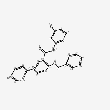 O=C(Nc1cncc(F)c1)c1cc(-c2ccncc2)ccc1OCc1ccccc1